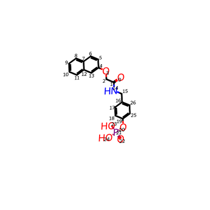 O=C(COc1ccc2ccccc2c1)NCc1ccc(OP(=O)(O)O)cc1